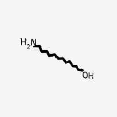 NCCCCCCCCCCCCCCO